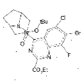 CCOC(=O)c1nc(N2CC3CCC(C2)N3C(=O)OC(C)(C)C)c2cc(Cl)c(Br)c(F)c2n1